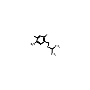 CC(C)OCc1cc(N)c(F)cc1Cl